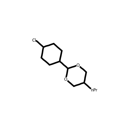 CCCC1COC(C2CCC(Cl)CC2)OC1